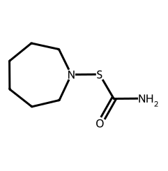 NC(=O)SN1CCCCCC1